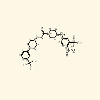 O=C(CCN1CCC(c2cccc(C(F)(F)F)c2)CC1)N1CCC(Nc2ccc([N+](=O)[O-])c(C(F)(F)F)c2)CC1